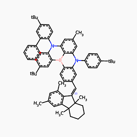 Cc1cc2c3c(c1)N(c1ccc(C(C)(C)C)cc1-c1ccccc1)c1ccc(C(C)(C)C)cc1B3c1ccc(/C=C3\c4c(C)cc(C)cc4C4(C)CCCCC34C)cc1N2c1ccc(C(C)(C)C)cc1